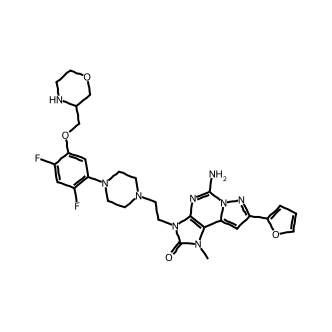 Cn1c(=O)n(CCN2CCN(c3cc(OCC4COCCN4)c(F)cc3F)CC2)c2nc(N)n3nc(-c4ccco4)cc3c21